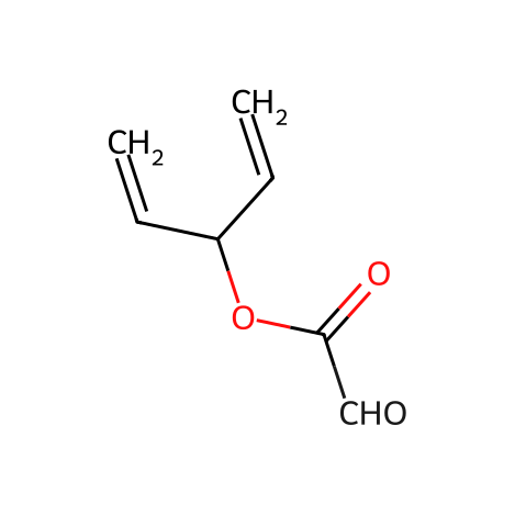 C=CC(C=C)OC(=O)C=O